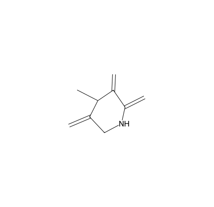 C=C1NCC(=C)C(C)C1=C